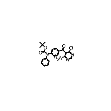 CC(C)(C)OC(=O)N(c1ccccc1)c1ccc(C(=O)c2c(N)ncnc2Cl)cc1